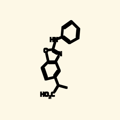 CC(C(=O)O)c1ccc2oc(Nc3ccccc3)nc2c1